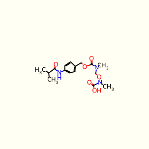 CC(C)C(=O)Nc1ccc(COC(=O)N(C)CON(C)C(=O)O)cc1